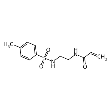 C=CC(=O)NCCNS(=O)(=O)c1ccc(C)cc1